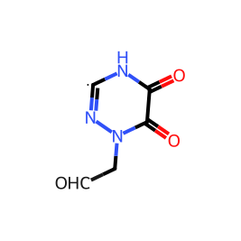 O=CCn1n[c][nH]c(=O)c1=O